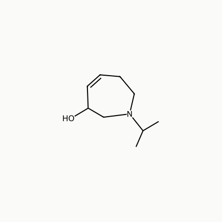 CC(C)N1CCC=CC(O)C1